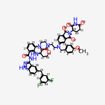 COc1ccc(CN(CCN2CCN(c3cccc(C(=O)Nc4n[nH]c5ccc(Cc6cc(F)cc(F)c6)cc45)c3NC3CCOCC3)CC2)c2ccc3c(c2)C(=O)N(C2CCC(=O)NC2=O)C3=O)cc1